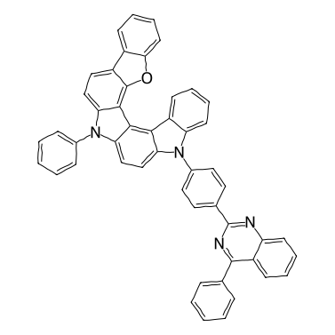 c1ccc(-c2nc(-c3ccc(-n4c5ccccc5c5c6c7c8oc9ccccc9c8ccc7n(-c7ccccc7)c6ccc54)cc3)nc3ccccc23)cc1